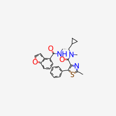 Cc1nc(C(=O)N(C)[C@H](CNC(=O)c2cccc3occc23)C2CC2)c(-c2ccccc2)s1